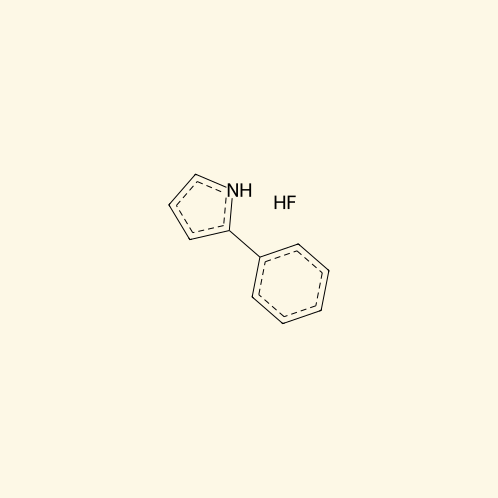 F.c1ccc(-c2ccc[nH]2)cc1